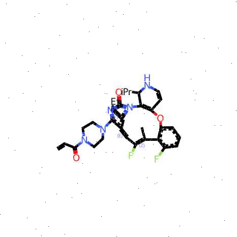 C=CC(=O)N1CCN(c2nc(=O)n3c(=C\CC)/c2=C\C(F)=C(/C)c2c(F)cccc2OC2=C3C(C(C)C)NC=C2)CC1